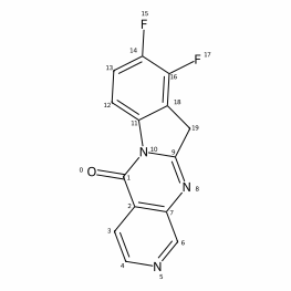 O=c1c2ccncc2nc2n1-c1ccc(F)c(F)c1C2